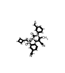 CC1=C(C#N)[C@@H](c2ccc(C#N)cc2S(=O)(=O)CC2CCC2)N(C)C(=O)N1c1cccc(CF)c1